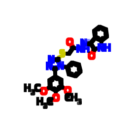 COc1cc(-c2nnc(SCC(=O)N/N=C3\C(=O)Nc4ccccc43)n2-c2ccccc2)cc(OC)c1OC